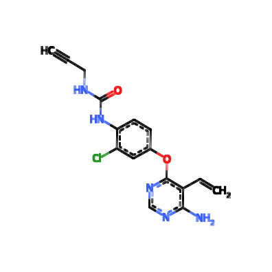 C#CCNC(=O)Nc1ccc(Oc2ncnc(N)c2C=C)cc1Cl